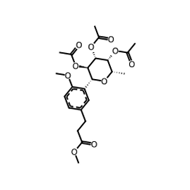 COC(=O)CCc1ccc(OC)c([C@H]2O[C@@H](C)[C@@H](OC(C)=O)[C@@H](OC(C)=O)[C@@H]2OC(C)=O)c1